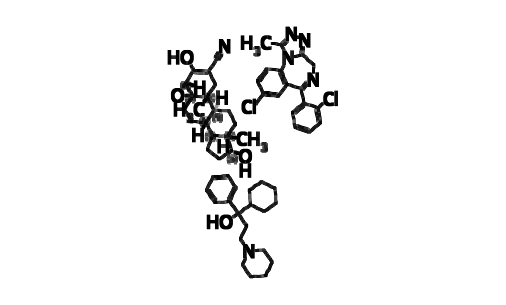 C[C@]12CC[C@H]3[C@@H](CC[C@@]45O[C@@H]4C(O)=C(C#N)C[C@]35C)[C@@H]1CC[C@@H]2O.Cc1nnc2n1-c1ccc(Cl)cc1C(c1ccccc1Cl)=NC2.OC(CCN1CCCCC1)(c1ccccc1)C1CCCCC1